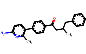 Cc1nc(N)ccc1-c1ccc(C(=O)CC(C)Cc2ccccc2)cc1